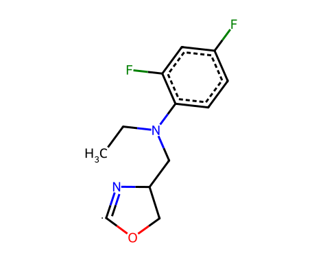 CCN(CC1CO[C]=N1)c1ccc(F)cc1F